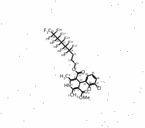 COC(=O)C1=C(C)NC(C)=C(C(=O)OCCCC(F)(F)C(F)(F)C(F)(F)C(F)(F)C(F)(F)C(F)(F)F)C1c1cccc(Cl)c1Cl